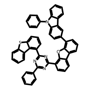 c1ccc(-c2nc(-c3cccc4c3oc3c(-c5ccc6c(c5)c5ccccc5n6-c5ccccc5)cccc34)nc(-c3cccc4sc5ccccc5c34)n2)cc1